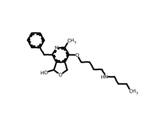 CCCCNCCCCOc1c(C)nc(Cc2ccccc2)c2c1COC2O